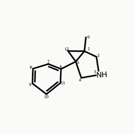 CC12CNCC1(c1ccccc1)C2